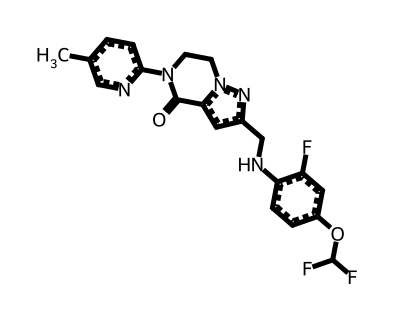 Cc1ccc(N2CCn3nc(CNc4ccc(OC(F)F)cc4F)cc3C2=O)nc1